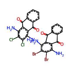 Nc1c(Br)c(Br)c(N)c2c1C(=O)c1ccccc1C2=O.Nc1c(Cl)c(Cl)c(N)c2c1C(=O)c1ccccc1C2=O